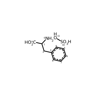 NC(Cc1ccccc1)C(=O)O.O=S(=O)(O)O